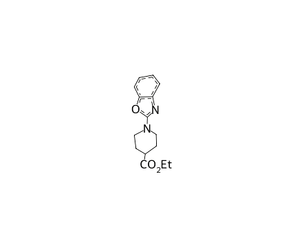 CCOC(=O)C1CCN(c2nc3ccccc3o2)CC1